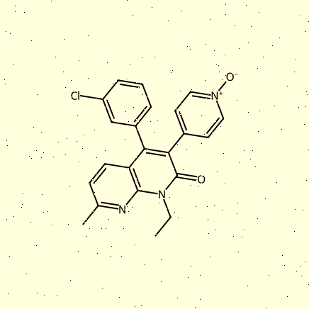 CCn1c(=O)c(-c2cc[n+]([O-])cc2)c(-c2cccc(Cl)c2)c2ccc(C)nc21